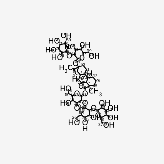 C=C1C[C@@]23CCC4[C@](C)(C(=O)OC5OC(CO)C(O)C(O)C5OC5OC(CO)C(O)C(O)C5OC5OC(CO)C(O)C(O)C5O)CCC[C@@]4(C)[C@@H]2CCC1(OC1OC(CO)C(O)C(O)C1OC1CC(CO)C(O)C(O)C1O)C3